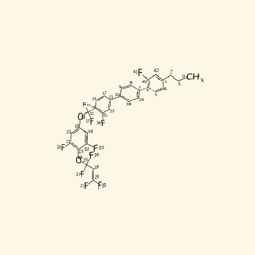 CCCc1ccc(-c2ccc(-c3ccc(C(F)(F)Oc4cc(F)c(OC(F)(F)C=C(F)F)c(F)c4)c(F)c3)cc2)c(F)c1